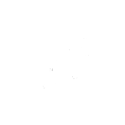 O=C([O-])OCCN1CCOCC1.[Na+]